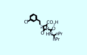 CCCC(CCC)NC(=O)N1C(=O)[C@H](CCc2cccc(Cl)c2)C1C(=O)O